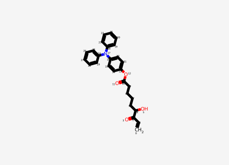 C=CC(=O)C(O)CCCCC(=O)Oc1ccc(N(c2ccccc2)c2ccccc2)cc1